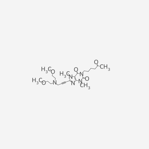 COCCN(CC#Cc1nc2c(c(=O)n(CCCCC(C)=O)c(=O)n2C)n1C)CCOC